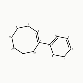 C1=CCCC(C2=CCCCCCC2)=C1